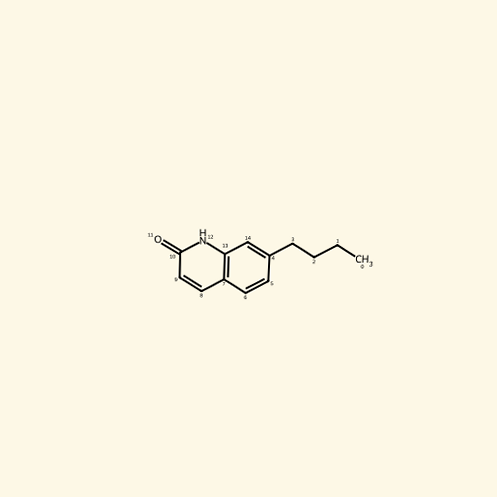 CCCCc1ccc2ccc(=O)[nH]c2c1